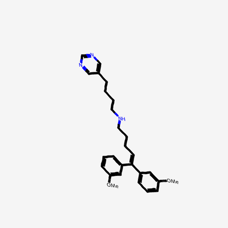 COc1cccc(C(=CCCCNCCCCc2cncnc2)c2cccc(OC)c2)c1